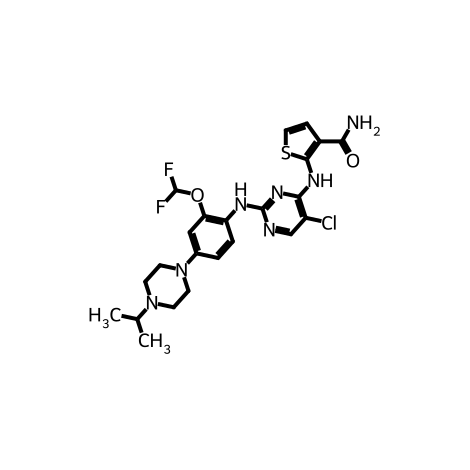 CC(C)N1CCN(c2ccc(Nc3ncc(Cl)c(Nc4sccc4C(N)=O)n3)c(OC(F)F)c2)CC1